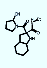 CCNC(=O)[C@]1(C(=O)N2CCCC2C#N)CC2CCCCC2N1